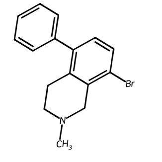 CN1CCc2c(-c3ccccc3)ccc(Br)c2C1